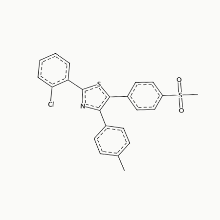 Cc1ccc(-c2nc(-c3ccccc3Cl)sc2-c2ccc(S(C)(=O)=O)cc2)cc1